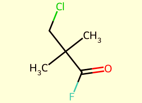 CC(C)(CCl)C(=O)F